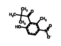 Cc1c([N+](=O)[O-])ccc(O)c1C(=O)C(C)(C)C